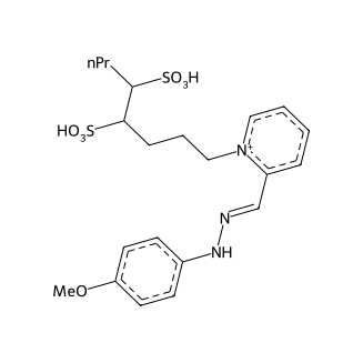 CCCC(C(CCC[n+]1ccccc1C=NNc1ccc(OC)cc1)S(=O)(=O)O)S(=O)(=O)O